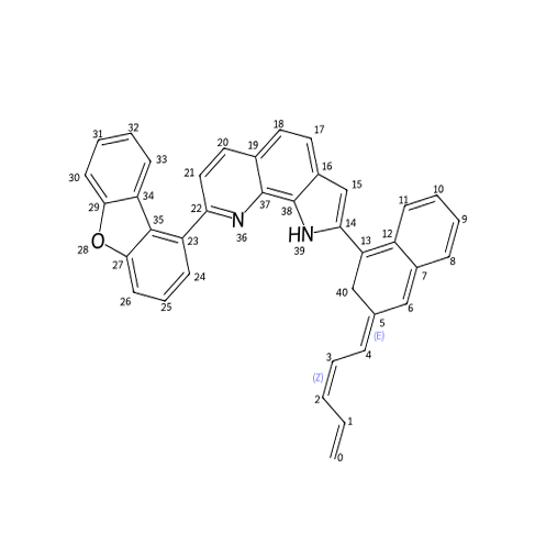 C=C/C=C\C=C1\C=c2ccccc2=C(c2cc3ccc4ccc(-c5cccc6oc7ccccc7c56)nc4c3[nH]2)C1